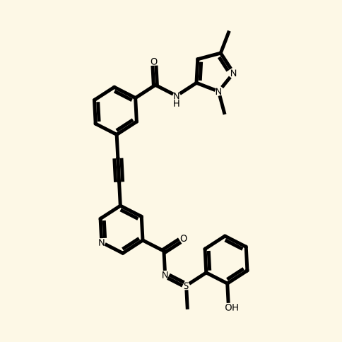 Cc1cc(NC(=O)c2cccc(C#Cc3cncc(C(=O)N=S(C)c4ccccc4O)c3)c2)n(C)n1